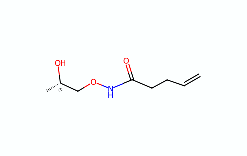 C=CCCC(=O)NOC[C@H](C)O